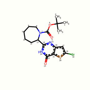 CC(C)(C)OC(=O)N1CCCCCC1c1nc2cc(Br)sc2c(=O)[nH]1